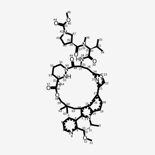 CCn1c(-c2cccnc2[C@H](C)OC)c2c3cc(ccc31)-c1csc(n1)C[C@H](NC(=O)[C@H](C(C)C)N(C)C(=O)[C@H]1CCN(C(=O)OC)C1)C(=O)N1CCC[C@H](N1)C(=O)OCC(C)(C)C2